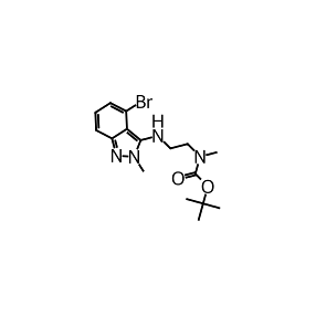 CN(CCNc1c2c(Br)cccc2nn1C)C(=O)OC(C)(C)C